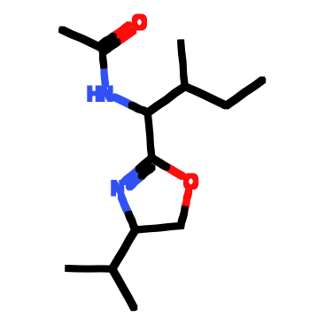 CCC(C)C(NC(C)=O)C1=NC(C(C)C)CO1